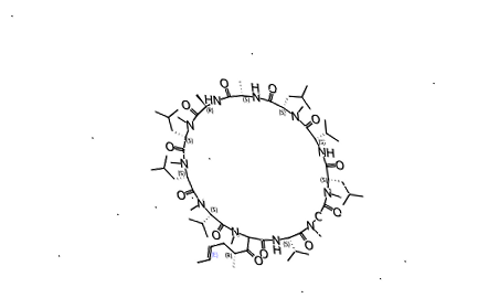 C/C=C/C[C@@H](C)C(=O)C1C(=O)N[C@@H](C(C)C)C(=O)N(C)CC(=O)N(C)[C@@H](CC(C)C)C(=O)N[C@@H](C(C)C)C(=O)N(C)[C@@H](CC(C)C)C(=O)N[C@@H](C)C(=O)N[C@H](C)C(=O)N(C)[C@@H](CC(C)C)C(=O)N(C)[C@@H](CC(C)C)C(=O)N(C)[C@@H](C(C)C)C(=O)N1C